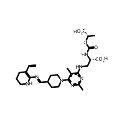 C=CC1=C(/N=C/C2CCN(c3nc(C)nc(NC[C@H](NC(=O)O[C@@H](C)C(=O)O)C(=O)O)c3C)CC2)NCCC1